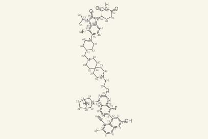 C#Cc1c(F)ccc2cc(O)cc(-c3ncc4c(N5CC6CCC(C5)N6)nc(OCCN5CCC6(CC5)CCN(CC5CCN(c7ccc8c(c7F)n(C(C)C)c(=O)n8C7CCC(=O)NC7=O)CC5)CC6)nc4c3F)c12